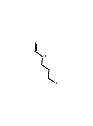 O=CNC[CH]CBr